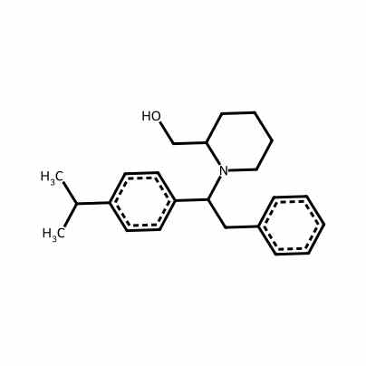 CC(C)c1ccc(C(Cc2ccccc2)N2CCCCC2CO)cc1